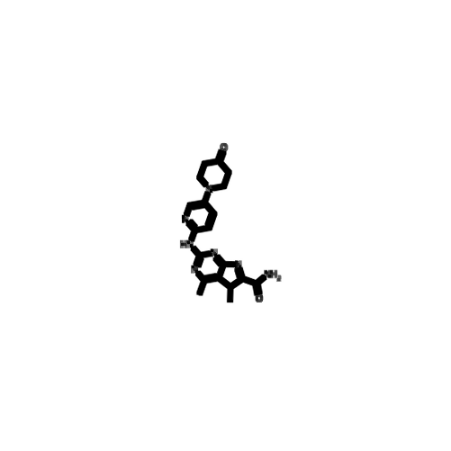 Cc1nc(Nc2ccc(N3CCC(=O)CC3)cn2)nc2c1C(C)C(C(N)=O)=N2